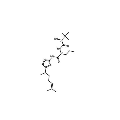 CCC[C@H](NC(=O)[C@@H](O)C(C)(C)C)C(=O)Nc1ncc(C(C)CCC=C(C)C)s1